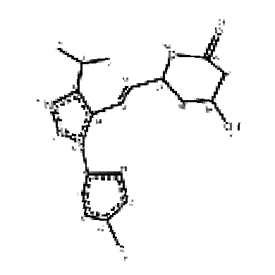 CC(C)c1nnn(-c2ccc(F)cc2)c1C=CC1CC(O)CC(=O)O1